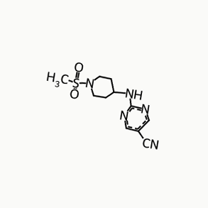 CS(=O)(=O)N1CCC(Nc2ncc(C#N)cn2)CC1